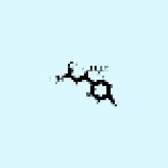 CCOC(=O)/C(=C\C(N)=O)c1ccc(Cl)cc1